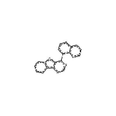 c1cnc2c(-c3ncnc4c3oc3ccccc34)cccc2c1